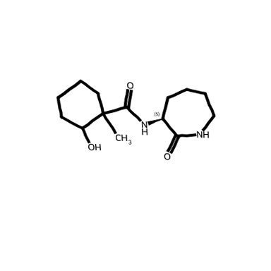 CC1(C(=O)N[C@H]2CCCCNC2=O)CCCCC1O